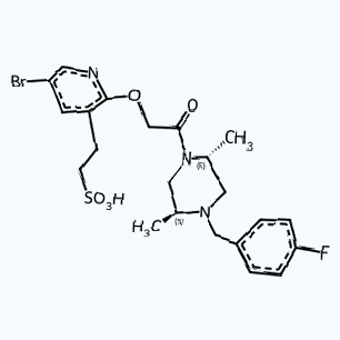 C[C@@H]1CN(Cc2ccc(F)cc2)[C@@H](C)CN1C(=O)COc1ncc(Br)cc1CCS(=O)(=O)O